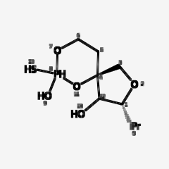 CC(C)[C@H]1OC[C@@]2(CCO[PH](O)(S)O2)C1O